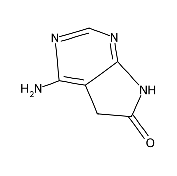 Nc1ncnc2c1CC(=O)N2